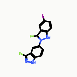 Fc1n[nH]c2ccc(N3Nc4ccc(I)cc4C3F)cc12